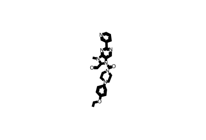 CCOc1ccc(N2CCN(C(=O)N3c4cnc(-c5cccnc5)nc4N(C)C3C=O)CC2)cc1